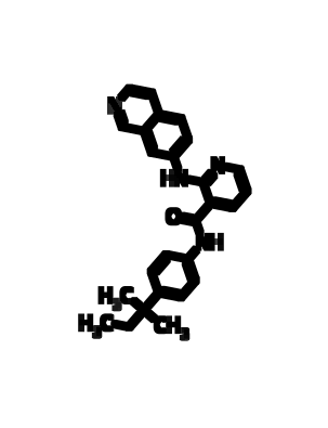 CCC(C)(C)c1ccc(NC(=O)c2cccnc2Nc2ccc3ccncc3c2)cc1